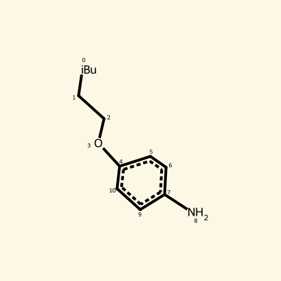 CCC(C)CCOc1ccc(N)cc1